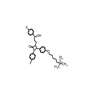 C[N+](C)(C)CCCCCOc1ccc(C2C(CCC(O)c3ccc(F)cc3)C(=O)N2c2ccc(F)cc2)cc1